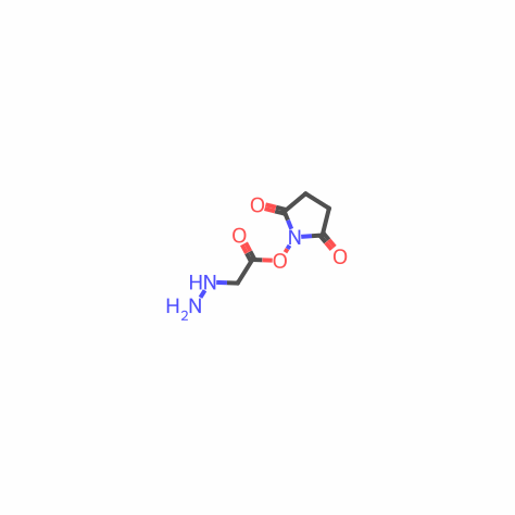 NNCC(=O)ON1C(=O)CCC1=O